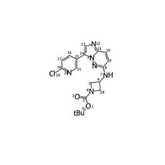 CC(C)(C)OC(=O)N1CC(Nc2ccc3ncc(-c4ccc(Cl)nc4)n3n2)C1